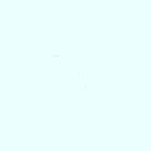 COc1cc(S(=O)(=O)N2CCCc3ccccc32)ccc1F